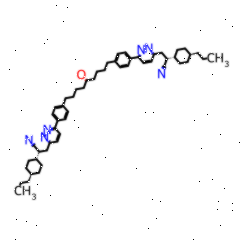 CCC[C@H]1CC[C@H](C(C#N)Cc2ccc(-c3ccc(CCCCC(=O)CCCCc4ccc(-c5ccc(CC(C#N)[C@H]6CC[C@H](CCC)CC6)nn5)cc4)cc3)nn2)CC1